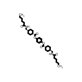 CCCCCC(=O)NC[C@H]1CC[C@H](C(=O)Oc2ccc(OC(=O)[C@H]3CC[C@H](CNC(=O)CCCCC)CC3)cc2)CC1